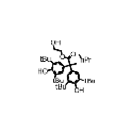 CC(C)(C)c1cc(C(C)(C(=O)OCCO)c2cc(C(C)(C)C)c(O)c(C(C)(C)C)c2)cc(C(C)(C)C)c1O.CCCC